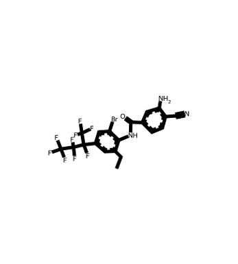 CCc1cc(C(F)(C(F)(F)F)C(F)(F)C(F)(F)F)cc(Br)c1NC(=O)c1ccc(C#N)c(N)c1